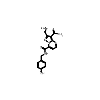 COCc1nn2c(C(=O)NCc3ccc(O)cc3)ccnc2c1C(N)=O